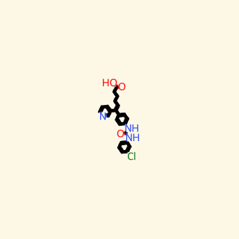 O=C(O)CCC/C=C(/c1ccc(NC(=O)Nc2cccc(Cl)c2)cc1)c1cccnc1